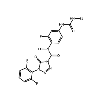 CCNC(=O)Nc1ccc(N(CC)C(=O)n2nnn(-c3c(F)cccc3F)c2=O)c(F)c1